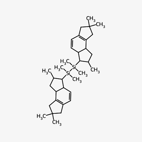 CC1CC2C3=C(C=CC2C1[Si](C)(C)[Si](C)(C)C1C(C)CC2C4=C(C=CC21)CC(C)(C)C4)CC(C)(C)C3